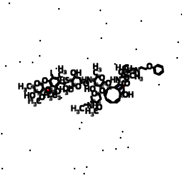 CCN[C@H]1CO[C@@H](O[C@H]2[C@H](O[C@H]3C#CC=CC#C[C@]4(O)CC(=O)C(NC(=O)OC)=C3/C4=C\CSSC(C)(C)CNCCOc3ccccc3)O[C@H](C)[C@@H](NO[C@H]3C[C@H](O)[C@H]([SH]=C(O)c4c(C)c(I)c(O[C@@H]5O[C@@H](C)[C@H](O)[C@@H](OC)[C@H]5O)c(OC)c4OC)[C@@H](C)O3)[C@@H]2O)C[C@@H]1OC